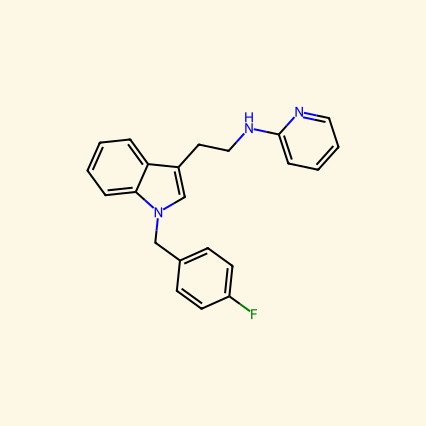 Fc1ccc(Cn2cc(CCNc3ccccn3)c3ccccc32)cc1